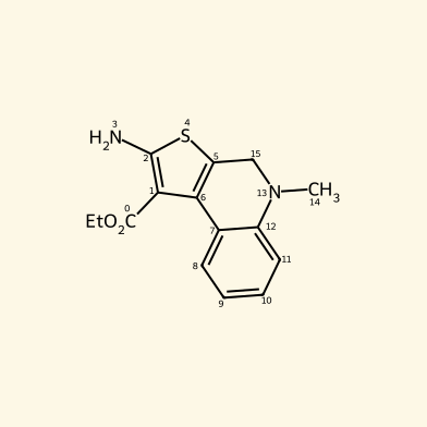 CCOC(=O)c1c(N)sc2c1-c1ccccc1N(C)C2